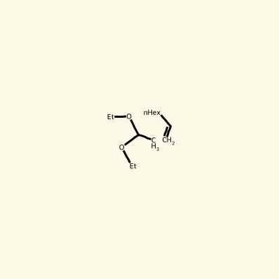 C=CCCCCCC.CCOC(C)OCC